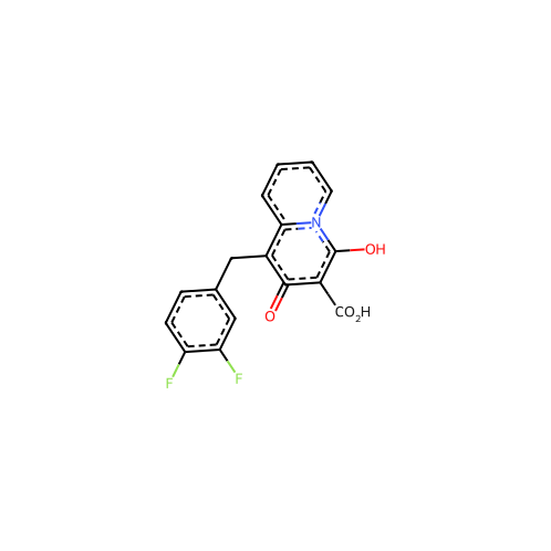 O=C(O)c1c(O)n2ccccc2c(Cc2ccc(F)c(F)c2)c1=O